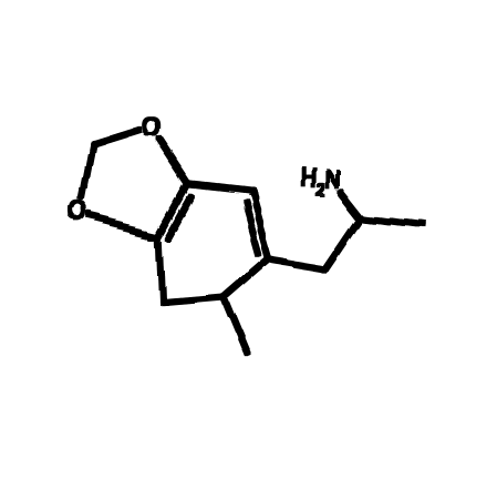 CC(N)CC1=CC2=C(CC1C)OCO2